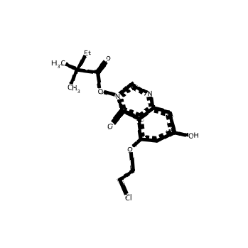 CCC(C)(C)C(=O)On1cnc2cc(O)cc(OCCCl)c2c1=O